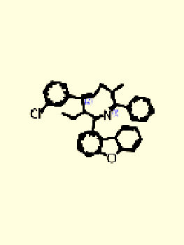 CCC1/C(c2cccc(Cl)c2)=C/CC(C)/C(c2ccccc2)=N\C1c1cccc2c1C1C=CC=CC1O2